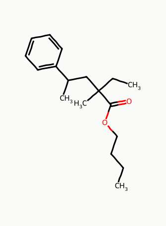 CCCCOC(=O)C(C)(CC)CC(C)c1ccccc1